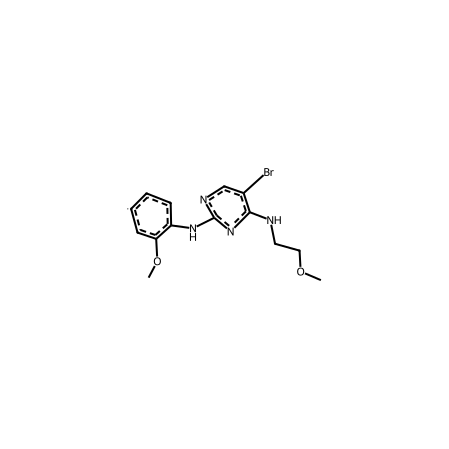 COCCNc1nc(Nc2cc[c]cc2OC)ncc1Br